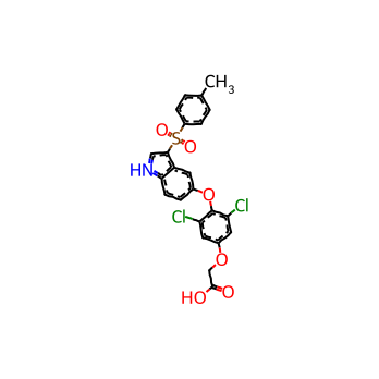 Cc1ccc(S(=O)(=O)c2c[nH]c3ccc(Oc4c(Cl)cc(OCC(=O)O)cc4Cl)cc23)cc1